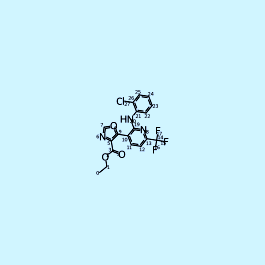 CCOC(=O)c1ncoc1-c1ccc(C(F)(F)F)nc1Nc1ccccc1Cl